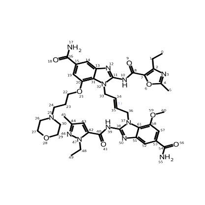 CCc1nc(C)oc1C(=O)Nc1nc2cc(C(N)=O)cc(OCCCN3CCOCC3)c2n1C/C=C/Cn1c(NC(=O)c2cc(C)nn2CC)nc2cc(C(N)=O)cc(OC)c21